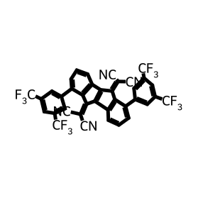 N#CC(C#N)=C1C2=C(C(=C(C#N)C#N)c3c2cccc3-c2cc(C(F)(F)F)cc(C(F)(F)F)c2)c2cccc(-c3cc(C(F)(F)F)cc(C(F)(F)F)c3)c21